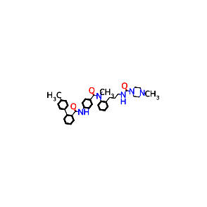 Cc1ccc(-c2ccccc2C(=O)Nc2ccc(C(=O)N(C)c3ccccc3CCCNC(=O)N3CCN(C)CC3)cc2)cc1